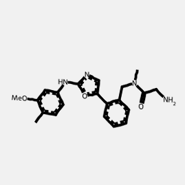 COc1cc(Nc2ncc(-c3ccccc3CN(C)C(=O)CN)o2)ccc1C